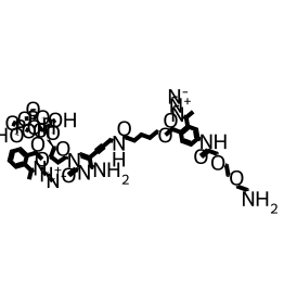 CC(N=[N+]=[N-])c1cc(NC(=O)COCCOCCN)ccc1C(=O)OCCCCC(=O)NCC#Cc1cn([C@H]2CC(OC(=O)c3ccccc3C(C)N=[N+]=[N-])[C@@H](COP(=O)(O)OP(=O)(O)OP(=O)(O)O)O2)c(=O)nc1N